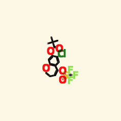 CC(C)(C)C(=O)Oc1cc2c(cc1Cl)C(OS(=O)C(F)(F)F)=CCCO2